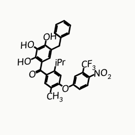 Cc1cc(C(=O)c2cc(Cc3ccccc3)c(O)c(O)c2O)c(C(C)C)cc1Oc1ccc([N+](=O)[O-])c(C(F)(F)F)c1